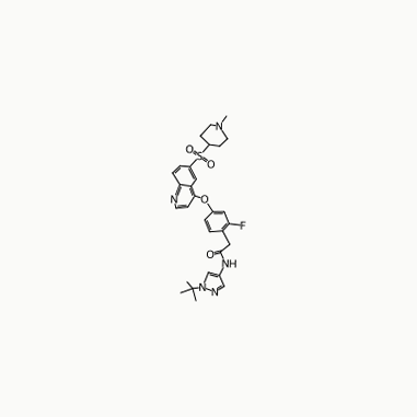 CN1CCC(S(=O)(=O)c2ccc3nccc(Oc4ccc(CC(=O)Nc5cnn(C(C)(C)C)c5)c(F)c4)c3c2)CC1